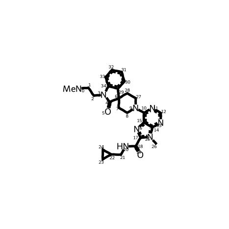 CNCCN1C(=O)C2(CCN(c3ncnc4c3nc(C(=O)NCC3CC3)n4C)CC2)c2ccccc21